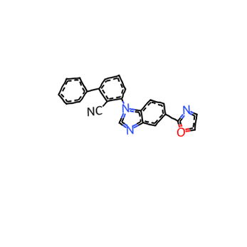 N#Cc1c(-c2ccccc2)cccc1-n1cnc2cc(-c3ncco3)ccc21